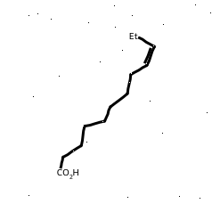 CC/C=C\CCCCCCCC(=O)O